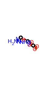 CS(=O)(=O)c1ccc(S(=O)(=O)N2CCC(COc3cccc4nc(N)nc(N)c34)CC2)cc1